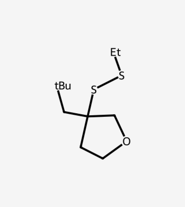 CCSSC1(CC(C)(C)C)CCOC1